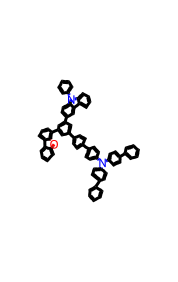 c1ccc(-c2ccc(N(c3ccc(-c4ccccc4)cc3)c3ccc(-c4ccc(-c5cc(-c6ccc7c(c6)c6ccccc6n7-c6ccccc6)cc(-c6cccc7c6oc6ccccc67)c5)cc4)cc3)cc2)cc1